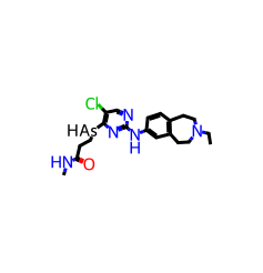 CCN1CCc2ccc(Nc3ncc(Cl)c([AsH]CCC(=O)NC)n3)cc2CC1